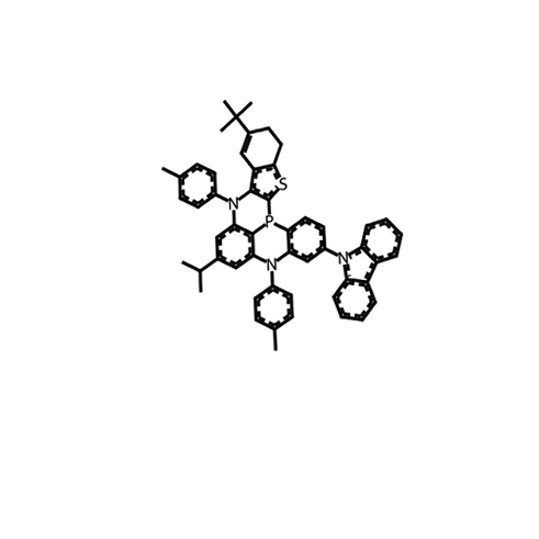 Cc1ccc(N2c3cc(-n4c5ccccc5c5ccccc54)ccc3P3c4sc5c(c4N(c4ccc(C)cc4)c4cc(C(C)C)cc2c43)C=C(C(C)(C)C)CC5)cc1